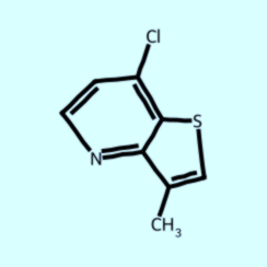 Cc1csc2c(Cl)ccnc12